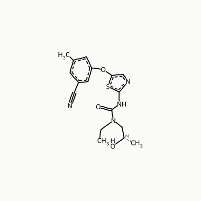 CCN(C[C@H](C)O)C(=O)Nc1ncc(Oc2cc(C)cc(C#N)c2)s1